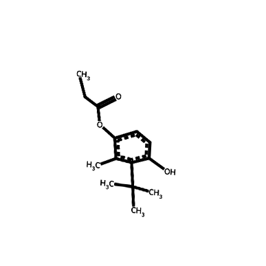 CCC(=O)Oc1ccc(O)c(C(C)(C)C)c1C